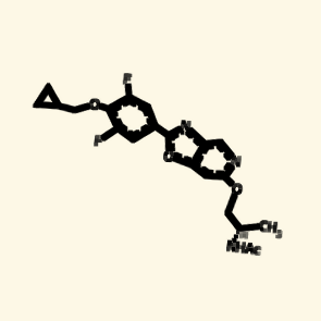 CC(=O)N[C@@H](C)COc1cc2oc(-c3cc(F)c(OCC4CC4)c(F)c3)nc2cn1